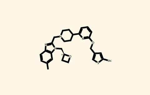 CC(=O)c1cc(COc2cccc(C3CCN(Cc4nc5ccc(C)cc5n4C[C@@H]4CCO4)CC3)n2)cs1